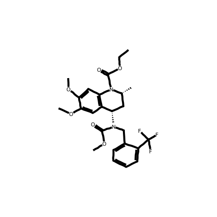 CCOC(=O)N1c2cc(OC)c(OC)cc2[C@@H](N(Cc2ccccc2C(F)(F)F)C(=O)OC)C[C@H]1C